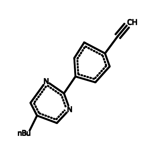 C#Cc1ccc(-c2ncc(CCCC)cn2)cc1